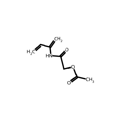 C=CC(=C)NC(=O)COC(C)=O